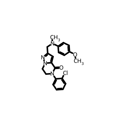 COc1ccc(N(C)Cc2cc3n(n2)CCN(c2ccccc2Cl)C3=O)cc1